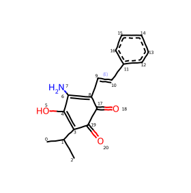 CC(C)C1=C(O)C(N)=C(/C=C/c2ccccc2)C(=O)C1=O